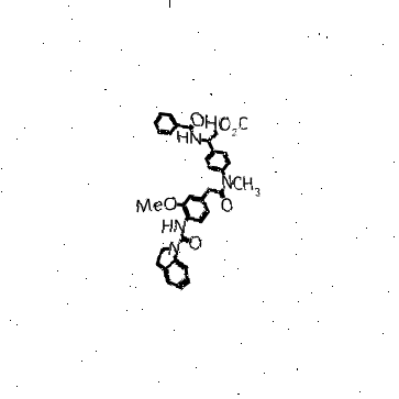 COc1cc(CC(=O)N(C)c2ccc(C(CC(=O)O)NC(=O)c3ccccc3)cc2)ccc1NC(=O)N1CCc2ccccc21